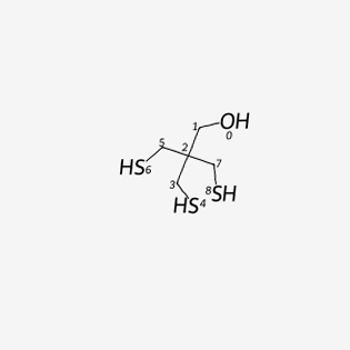 OCC(CS)(CS)CS